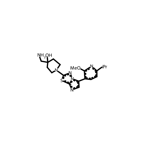 COc1nc(C(C)C)ccc1-c1cnc2sc(N3CCC(O)(CN)CC3)nn12